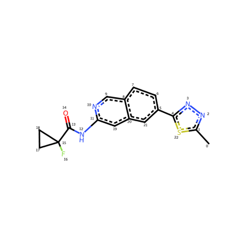 Cc1nnc(-c2ccc3cnc(NC(=O)C4(F)CC4)cc3c2)s1